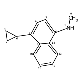 CNc1ccc(C2CC2)c2ccccc12